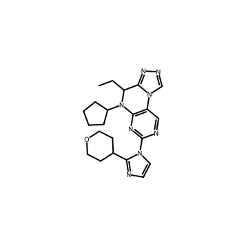 CCC1c2nncn2-c2cnc(-n3ccnc3C3CCOCC3)nc2N1C1CCCC1